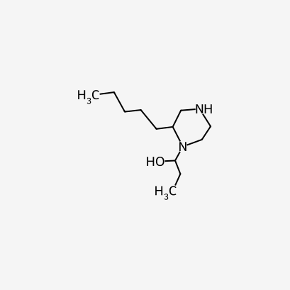 CCCCCC1CNCCN1C(O)CC